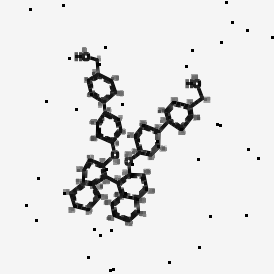 OCc1ccc(-c2ccc(Oc3ccc4ccccc4c3-c3c(Oc4ccc(-c5ccc(CO)cc5)cc4)ccc4ccccc34)cc2)cc1